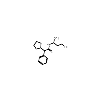 O=C(O)C(CCO)NC(=O)C(c1ccccc1)C1CCCC1